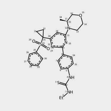 CCNC(=S)Nc1ccc(-c2nc(N3CCOC[C@@H]3C)cc(C3(S(=O)(=O)c4ccccc4)CC3)n2)cc1